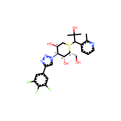 Cc1ncccc1C([SH]1C[C@H](O)[C@H](n2cc(-c3cc(F)c(F)c(F)c3)nn2)[C@@H](O)[C@H]1CO)C(C)(C)O